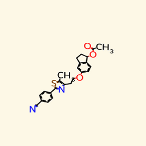 CC(=O)OC1CCc2cc(OCCc3nc(-c4ccc(C#N)cc4)sc3C)ccc21